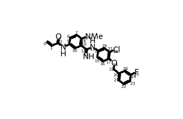 C=CC(=O)Nc1ccc(NC)c(C(=N)Nc2ccc(OCc3cccc(F)c3)c(Cl)c2)c1